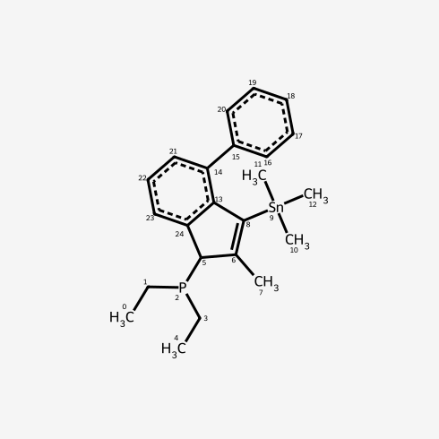 CCP(CC)C1C(C)=[C]([Sn]([CH3])([CH3])[CH3])c2c(-c3ccccc3)cccc21